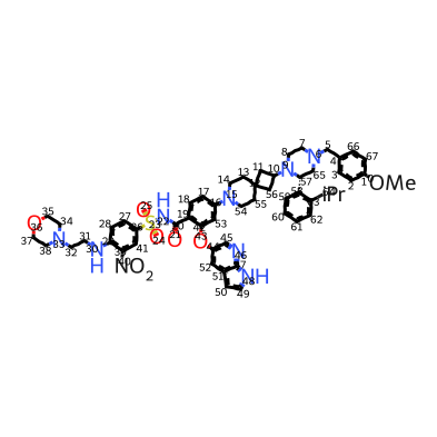 COc1ccc(CN2CCN(C3CC4(CCN(c5ccc(C(=O)NS(=O)(=O)c6ccc(NCCN7CCOCC7)c([N+](=O)[O-])c6)c(Oc6cnc7[nH]ccc7c6)c5)CC4)C3)[C@@H](c3ccccc3C(C)C)C2)cc1